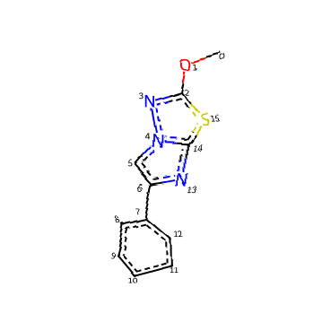 COc1nn2cc(-c3ccccc3)nc2s1